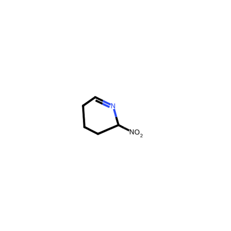 O=[N+]([O-])C1CCCC=N1